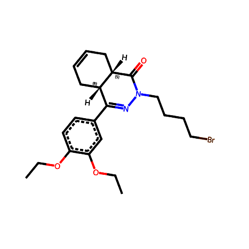 CCOc1ccc(C2=NN(CCCCBr)C(=O)[C@H]3CC=CC[C@@H]23)cc1OCC